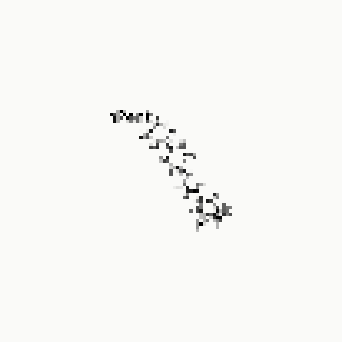 CCCCCC1CCC(C2CCC(C/C=C\Cc3cc(F)c(F)c(F)c3)CC2)CC1